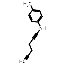 C#CCCC#CNc1ccc([CH2])cc1